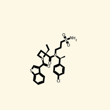 CC[C@]1(C(=O)N(CCCS(N)(=O)=O)[C@@H](C)c2ccc(Cl)cc2)CCN1C(=O)c1csc2ccccc12